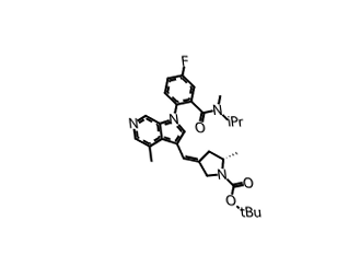 Cc1cncc2c1c(/C=C1\C[C@H](C)N(C(=O)OC(C)(C)C)C1)cn2-c1ccc(F)cc1C(=O)N(C)C(C)C